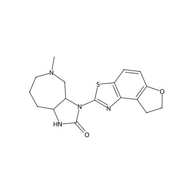 CN1CCCC2NC(=O)N(c3nc4c5c(ccc4s3)OCC5)C2C1